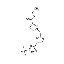 CCOC(=O)c1ccn(Cc2ccc(-c3noc(C(F)(F)F)n3)s2)n1